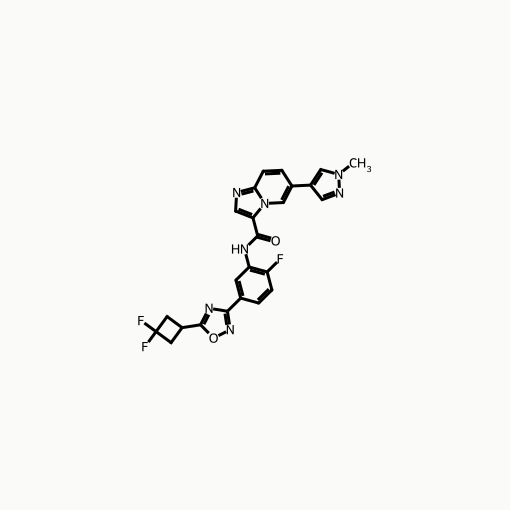 Cn1cc(-c2ccc3ncc(C(=O)Nc4cc(-c5noc(C6CC(F)(F)C6)n5)ccc4F)n3c2)cn1